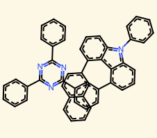 c1ccc(-c2nc(-c3ccccc3)nc(-c3cccc(-c4cccc5c4c4c(-c6ccc7ccccc7c6)cccc4n5-c4ccccc4)c3)n2)cc1